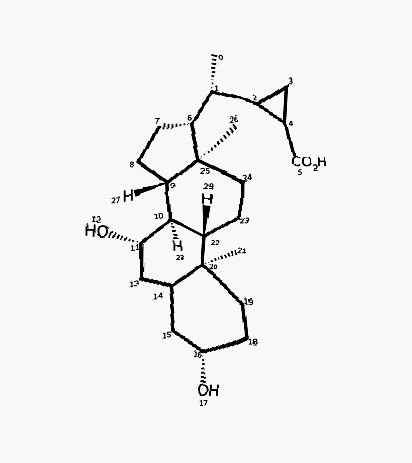 C[C@H](C1CC1C(=O)O)[C@H]1CC[C@H]2[C@@H]3[C@@H](O)CC4C[C@@H](O)CC[C@]4(C)[C@H]3CC[C@]12C